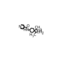 CC(C)C1(C(C)C)CCC(NC(=O)c2ccncc2)CC1